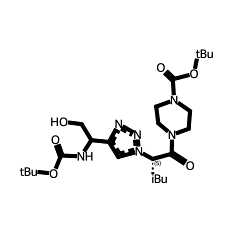 CCC(C)[C@@H](C(=O)N1CCN(C(=O)OC(C)(C)C)CC1)n1cc(C(CO)NC(=O)OC(C)(C)C)nn1